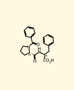 O=C(O)[C@H](Cc1ccccc1)NC(=O)[C@@H]1CCCN1C(=O)c1ccccc1